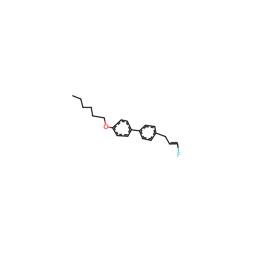 CCCCCCOc1ccc(-c2ccc(CC=CF)cc2)cc1